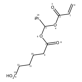 C=CC(=O)OC(OC(=O)CCCCC(=O)O)C(C)C